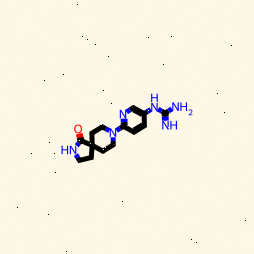 N=C(N)Nc1ccc(N2CCC3(CCNC3=O)CC2)nc1